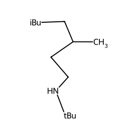 CCC(C)CC(C)CCNC(C)(C)C